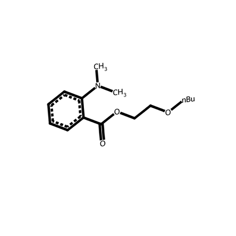 CCCCOCCOC(=O)c1ccccc1N(C)C